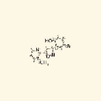 Cc1cccnc1-c1cc(-c2cc(Br)ccc2O)no1